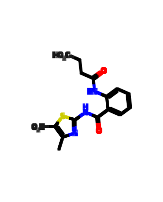 Cc1nc(NC(=O)c2ccccc2NC(=O)CCC(=O)O)sc1[N+](=O)[O-]